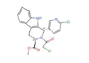 COC(=O)[C@H]1Cc2c([nH]c3ccccc23)[C@H](c2ccc(Cl)nc2)N1C(=O)CCl